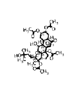 CC(=O)O[C@H]1C[C@]2(C)[C@@H]3C(=CC(=O)[C@@H]2C[C@H]1OC(C)=O)[C@]1(OC(C)=O)CC[C@H]([C@@](C)(OC(C)=O)[C@H](O)CCC(C)(C)O)[C@@]1(C)C[C@H]3O